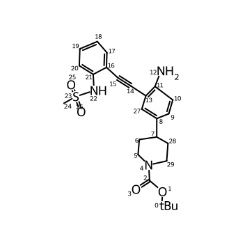 CC(C)(C)OC(=O)N1CCC(c2ccc(N)c(C#Cc3ccccc3NS(C)(=O)=O)c2)CC1